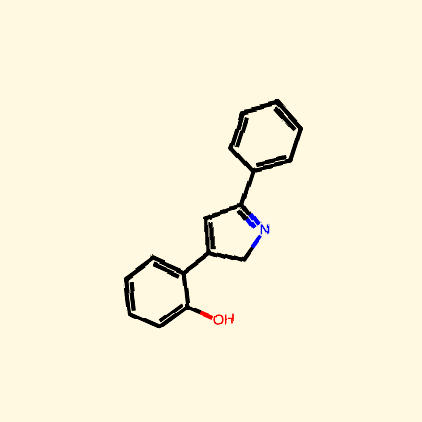 Oc1ccccc1C1=CC(c2ccccc2)=NC1